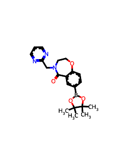 CC1(C)OB(c2ccc3c(c2)C(=O)N(Cc2ncccn2)CCO3)OC1(C)C